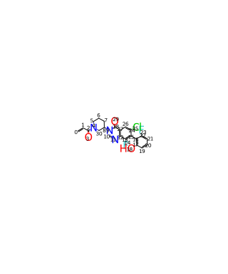 C=CC(=O)N1CCCC(n2cnc3c(F)c(-c4c(O)cccc4F)c(Cl)cc3c2=O)C1